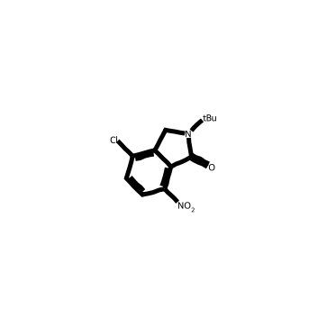 CC(C)(C)N1Cc2c(Cl)ccc([N+](=O)[O-])c2C1=O